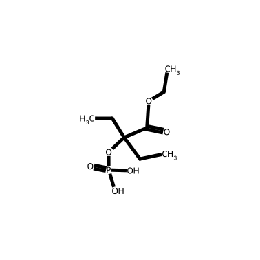 CCOC(=O)C(CC)(CC)OP(=O)(O)O